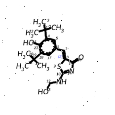 CC(C)(C)c1cc(/C=C2\SC(NCO)=NC2=O)cc(C(C)(C)C)c1O